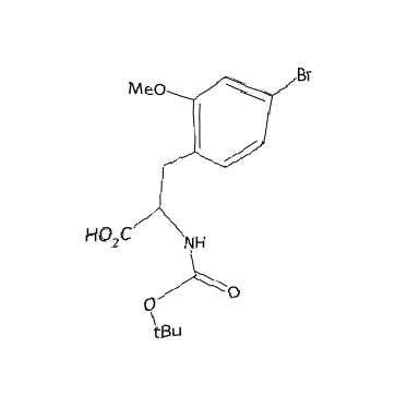 COc1cc(Br)ccc1CC(NC(=O)OC(C)(C)C)C(=O)O